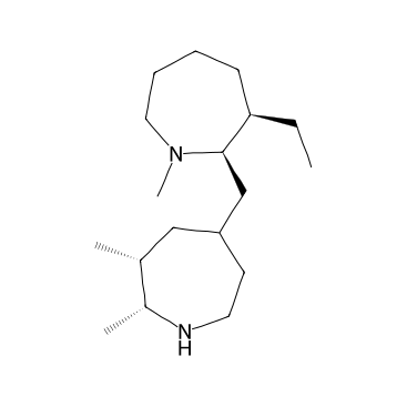 CC[C@@H]1CCCCN(C)[C@@H]1CC1CCN[C@H](C)[C@H](C)C1